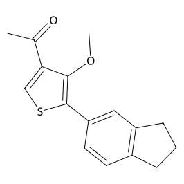 COc1c(C(C)=O)csc1-c1ccc2c(c1)CCC2